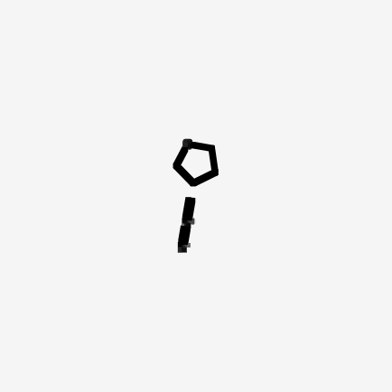 C1CCOC1.C=[N+]=[N-]